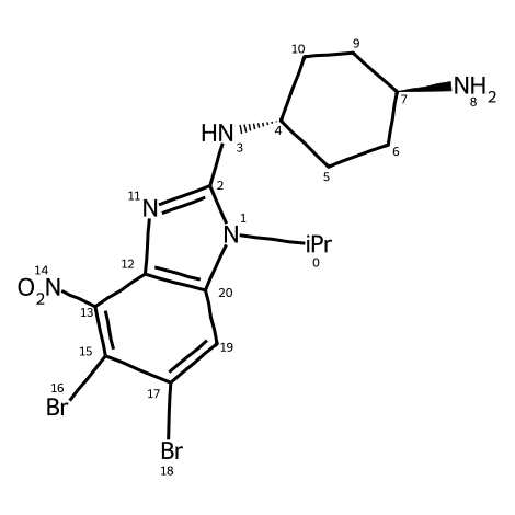 CC(C)n1c(N[C@H]2CC[C@H](N)CC2)nc2c([N+](=O)[O-])c(Br)c(Br)cc21